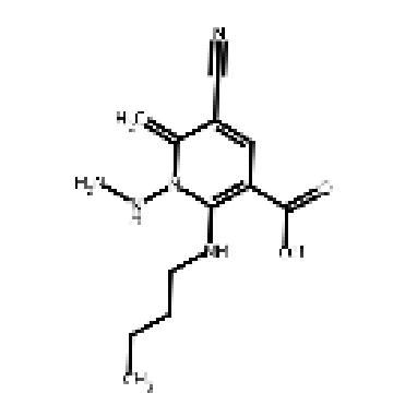 C=C1C(C#N)=CC(C(=O)O)=C(NCCCC)N1NN